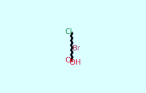 O=C(O)CCCCC(Br)CCCCCCCl